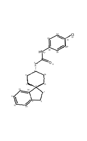 O=C(C[C@H]1CC[C@]2(CCc3ccccc32)CC1)Nc1ccc(Cl)cc1